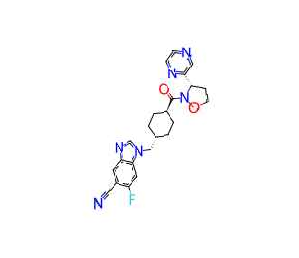 N#Cc1cc2ncn(C[C@H]3CC[C@H](C(=O)N4OCC[C@H]4c4cnccn4)CC3)c2cc1F